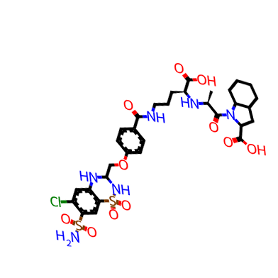 C[C@H](N[C@@H](CCCNC(=O)c1ccc(OCC2Nc3cc(Cl)c(S(N)(=O)=O)cc3S(=O)(=O)N2)cc1)C(=O)O)C(=O)N1C(C(=O)O)CC2CCCCC21